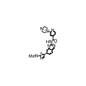 CNc1ncc(-c2ccc3cnc(NC(=O)c4ccnc(N5CCN(C)CC5)c4)nc3c2)s1